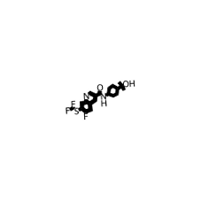 CC(C)(O)C1CCC(NC(=O)c2cnc3cc(SC(F)F)c(F)cc3c2)CC1